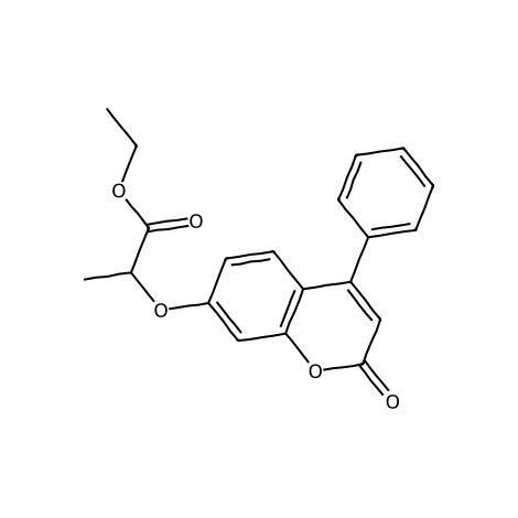 CCOC(=O)C(C)Oc1ccc2c(-c3ccccc3)cc(=O)oc2c1